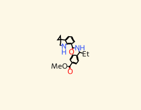 CCC(NC(=O)c1cccc2c1NCC21CC1)c1ccc(C(=O)OC)cc1